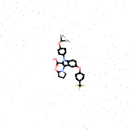 CC(C)Oc1ccc(-n2c(C(=O)O)c(N3CCCC3=O)c3cc(Oc4ccc(C(F)(F)F)cc4)ccc32)cc1